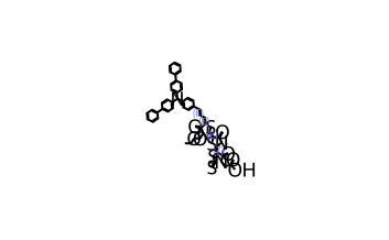 CCOOn1c(=O)/c(=C\C=C\c2ccc(N(c3ccc(-c4ccccc4)cc3)c3ccc(-c4ccccc4)cc3)cc2)s/c1=c1/s/c(=C2\SC(=S)N(CC(=O)O)C2=O)n(C)c1=O